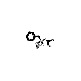 CCCO[Si](Cc1ccccc1)(OC)OC(O)CC